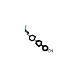 N#Cc1ccc(-c2ccc([C@H]3CC[C@H](C/C=C/F)CC3)cc2)cc1